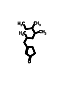 CCC(C)C(C)CC(C)CC1=CC(=O)CC1